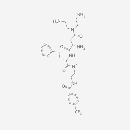 CN(CCNC(=O)c1ccc(C(F)(F)F)cc1)C(=O)[C@H](CCc1ccccc1)NC(=O)[C@@H](N)CC(=O)N(CCN)CCN